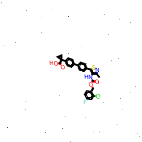 Cc1nsc(-c2ccc(-c3ccc(C4(C(=O)O)CC4)cc3)cc2)c1NC(=O)OCc1ccc(F)cc1Cl